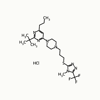 CCCc1cc(N2CCN(CCCSc3nnc(C(F)(F)F)n3C)CC2)nc(C(C)(C)C)n1.Cl